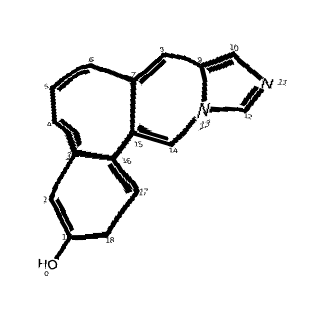 OC1=CC2=CC=Cc3cc4cncn4cc3C2=CC1